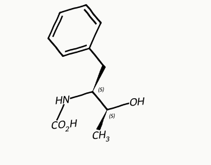 C[C@H](O)[C@H](Cc1ccccc1)NC(=O)O